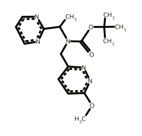 COc1ccc(CN(C(=O)OC(C)(C)C)C(C)c2ncccn2)nn1